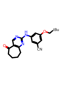 CC(C)(C)COc1cc(C#N)cc(Nc2ncc3c(n2)CCCCC3=O)c1